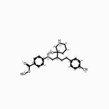 CC(C)(C)OC(=O)c1ccc(NCC(CCc2ccc(C#N)cc2)C2(O)CCCNC2)cc1